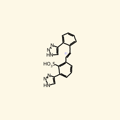 O=S(=O)(O)c1c(/C=C/c2ccccc2-c2c[nH]nn2)cccc1-c1c[nH]nn1